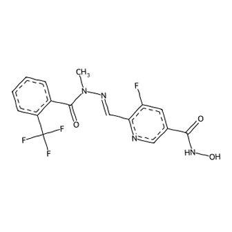 CN(N=Cc1ncc(C(=O)NO)cc1F)C(=O)c1ccccc1C(F)(F)F